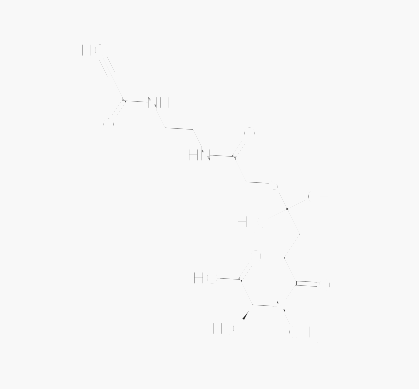 C#CC(=O)NCCNC(=O)CSC(C)(C)CCC(=O)N(C)[C@@H](C)C(=O)O